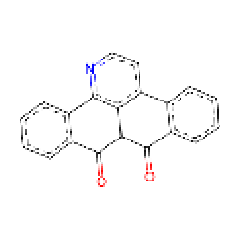 O=C1c2ccccc2-c2ccnc3c2C1C(=O)c1ccccc1-3